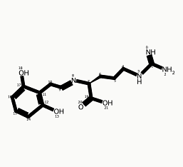 N=C(N)NCCC[C@H](N=CCc1c(O)cccc1O)C(=O)O